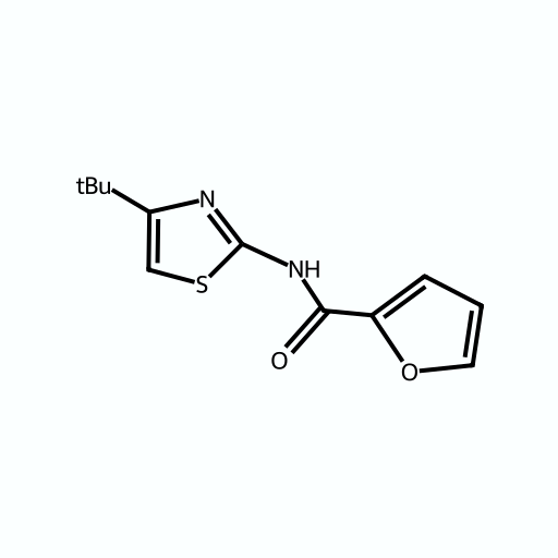 CC(C)(C)c1csc(NC(=O)c2ccco2)n1